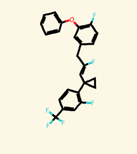 FC(=CC1(c2ccc(C(F)(F)F)cc2F)CC1)Cc1ccc(F)c(Oc2ccccc2)c1